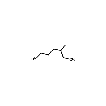 CCCC[CH]CC(C)CO